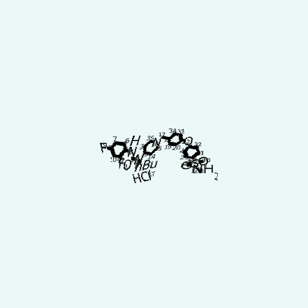 CCCCN(C(=O)Nc1ccc(F)cc1F)C1CCN(Cc2ccc(Oc3ccc(S(N)(=O)=O)cc3)cc2)CC1.Cl